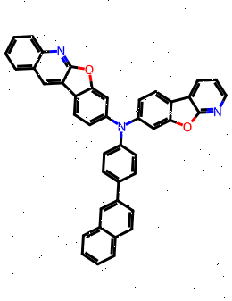 c1ccc2cc(-c3ccc(N(c4ccc5c(c4)oc4ncccc45)c4ccc5c(c4)oc4nc6ccccc6cc45)cc3)ccc2c1